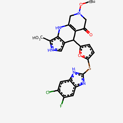 CC(C)(C)ON1CC(=O)C2=C(C1)Nc1c(c[nH]c1C(=O)O)C2c1ccc(Sc2nc3cc(F)c(Cl)cc3[nH]2)o1